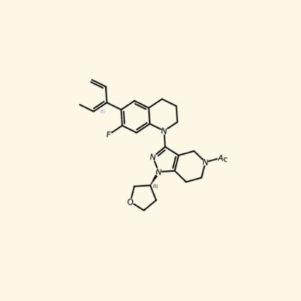 C=C/C(=C\C)c1cc2c(cc1F)N(c1nn([C@H]3CCOC3)c3c1CN(C(C)=O)CC3)CCC2